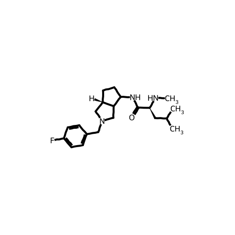 CN[C@@H](CC(C)C)C(=O)NC1CC[C@H]2CN(Cc3ccc(F)cc3)CC12